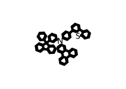 c1ccc(C2(c3cccc(N(c4ccc(-c5cccc6c5sc5ccccc56)cc4)c4ccc5c6ccccc6c6ccccc6c5c4)c3)c3ccccc3-c3ccccc32)cc1